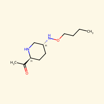 CCCCON[C@@H]1CC[C@@H](C(C)=O)NC1